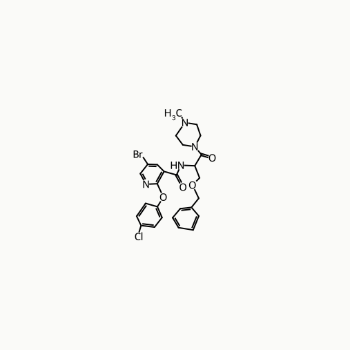 CN1CCN(C(=O)C(COCc2ccccc2)NC(=O)c2cc(Br)cnc2Oc2ccc(Cl)cc2)CC1